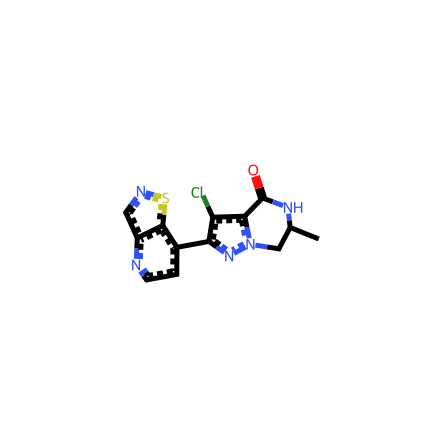 CC1Cn2nc(-c3ccnc4cnsc34)c(Cl)c2C(=O)N1